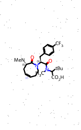 CN[C@H]1C/C=C\CCN([C@@H](Cc2ccc(C(F)(F)F)cc2)C(=O)N(C)C(C(=O)O)C(C)(C)C)C1=O